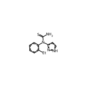 CCc1ccccc1N(C(N)=S)c1cc[nH]n1